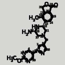 COc1ncc(-n2cc(CN3C[C@@H](c4ccc5c(c4C)COC5=O)N[C@@H](N)C3)cn2)cn1